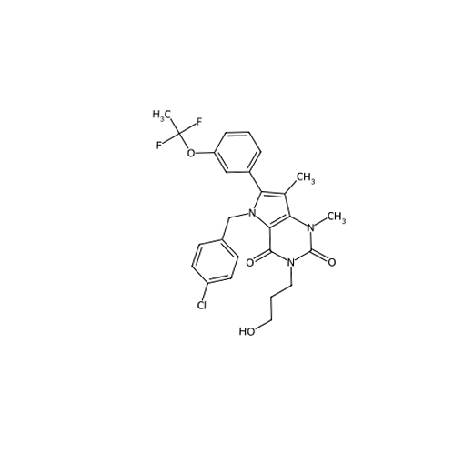 Cc1c(-c2cccc(OC(C)(F)F)c2)n(Cc2ccc(Cl)cc2)c2c(=O)n(CCCO)c(=O)n(C)c12